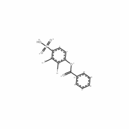 O=C(Oc1ccc(S(=O)(=O)O)c(I)c1I)c1ccccc1